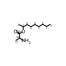 CCCCCCCC(C)OC(=O)C(C)N